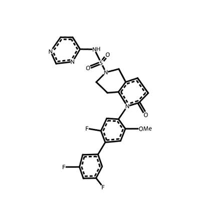 COc1cc(-c2cc(F)cc(F)c2)c(F)cc1-n1c2c(ccc1=O)CN(S(=O)(=O)Nc1ccncn1)CC2